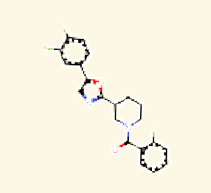 O=C(c1ccccc1F)N1CCCC(c2ncc(-c3ccc(F)c(F)c3)o2)C1